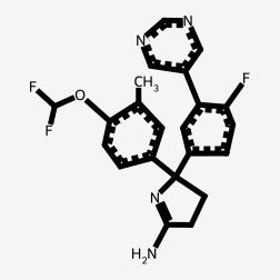 Cc1cc(C2(c3ccc(F)c(-c4cncnc4)c3)CCC(N)=N2)ccc1OC(F)F